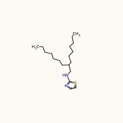 CCCCCCCC(CCCCCCC)CNc1nccs1